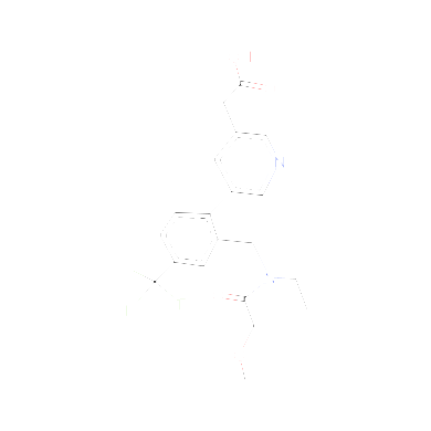 CCN(Cc1cc(C(F)(F)F)ccc1-c1cncc(CC(=O)O)c1)C(=O)COC